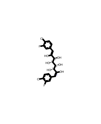 OC(=Cc1ccc(Cl)c(F)c1)[C@@H](O)[C@@H](O)[C@H](O)[C@@H](O)/C(O)=C\c1ccc(Cl)c(F)c1